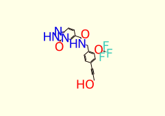 O=C(NCc1ccc(C#CCO)cc1OC(F)(F)F)c1ccc2n[nH]c(=O)n2c1